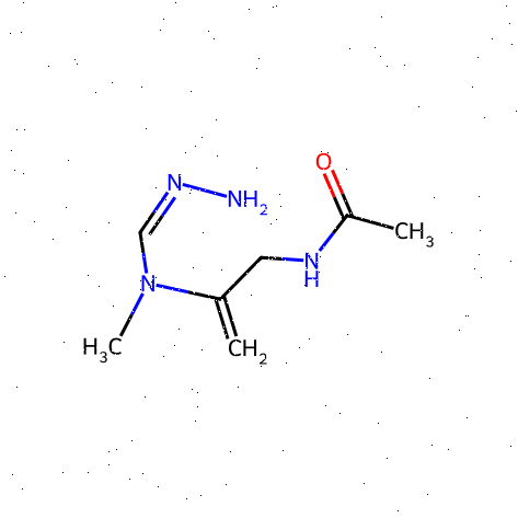 C=C(CNC(C)=O)N(C)/C=N\N